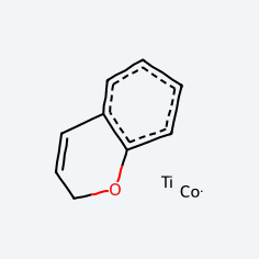 C1=Cc2ccccc2OC1.[Co].[Ti]